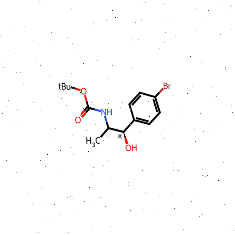 CC(NC(=O)OC(C)(C)C)[C@H](O)c1ccc(Br)cc1